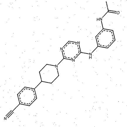 CC(=O)Nc1cccc(Nc2ncnc(N3CCC(c4ccc(C#N)cc4)CC3)n2)c1